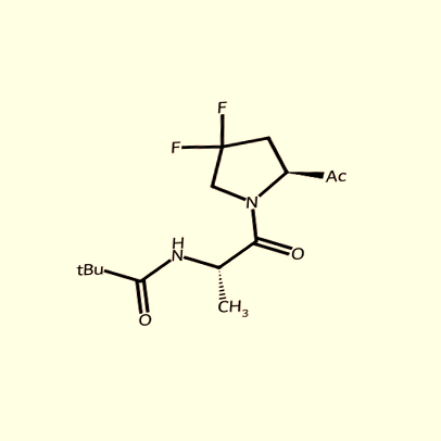 CC(=O)[C@@H]1CC(F)(F)CN1C(=O)[C@H](C)NC(=O)C(C)(C)C